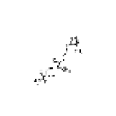 CN(C(=O)CCCSc1nnnn1C)C1CCC(S(N)(=O)=O)CC1